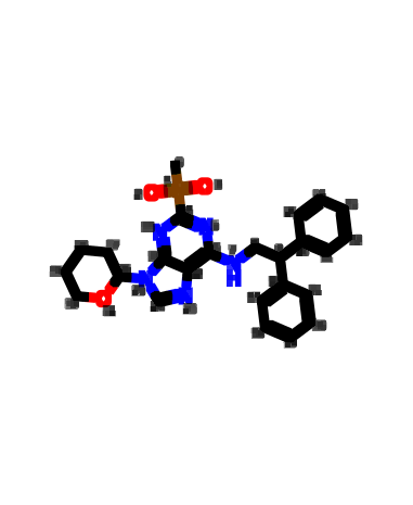 CS(=O)(=O)c1nc(NCC(c2ccccc2)c2ccccc2)c2ncn(C3CCCCO3)c2n1